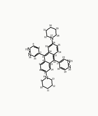 c1cc(-c2c3ccc(N4CCCCC4)cc3c(-c3ccnnc3)c3ccc(N4CCCCC4)cc23)cnn1